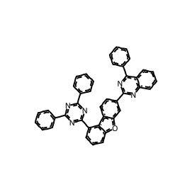 c1ccc(-c2nc(-c3ccccc3)nc(-c3cccc4oc5cc(-c6nc(-c7ccccc7)c7ccccc7n6)ccc5c34)n2)cc1